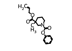 C=CCOC(=O)C1(C)CCCN(C(=O)Oc2ccccc2)C1